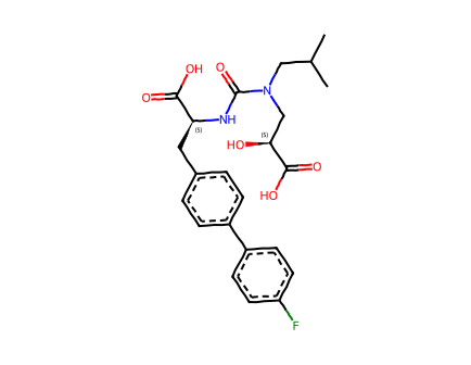 CC(C)CN(C[C@H](O)C(=O)O)C(=O)N[C@@H](Cc1ccc(-c2ccc(F)cc2)cc1)C(=O)O